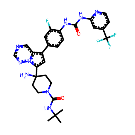 CC(C)(C)NC(=O)N1CCC(N)(c2cc(-c3ccc(NC(=O)Nc4cc(C(F)(F)F)ccn4)c(F)c3)c3cncnn23)CC1